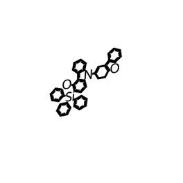 C1=C(n2c3ccccc3c3c4c(ccc32)[Si](c2ccccc2)(c2ccccc2)c2ccccc2O4)CCc2oc3ccccc3c21